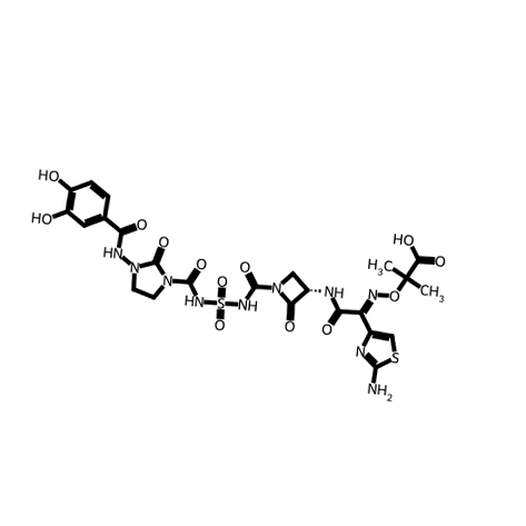 CC(C)(ON=C(C(=O)N[C@H]1CN(C(=O)NS(=O)(=O)NC(=O)N2CCN(NC(=O)c3ccc(O)c(O)c3)C2=O)C1=O)c1csc(N)n1)C(=O)O